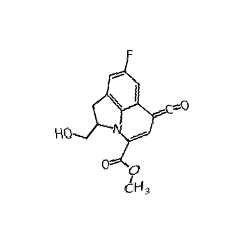 COC(=O)C1=CC(=C=O)c2cc(F)cc3c2N1C(CO)C3